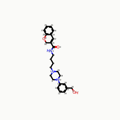 O=C(NCCCCN1CCN(c2cccc(CO)c2)CC1)C1=Cc2ccccc2OC1